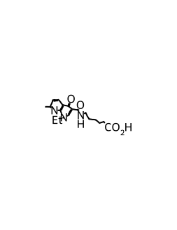 CCn1cc(C(=O)NCCCCCC(=O)O)c(=O)c2ccc(C)nc21